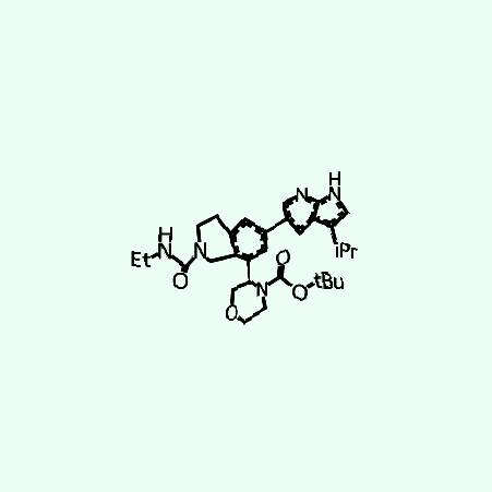 CCNC(=O)N1CCc2cc(-c3cnc4[nH]cc(C(C)C)c4c3)cc([C@@H]3COCCN3C(=O)OC(C)(C)C)c2C1